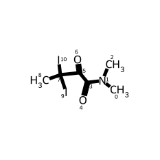 CN(C)C(=O)C(=O)C(C)(I)I